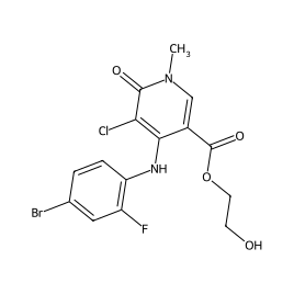 Cn1cc(C(=O)OCCO)c(Nc2ccc(Br)cc2F)c(Cl)c1=O